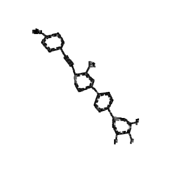 CCCCc1ccc(C#Cc2ccc(-c3ccc(-c4cc(F)c(F)c(F)c4)cc3)cc2CC)cc1